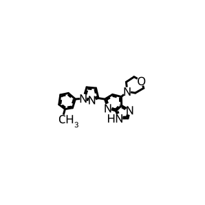 Cc1cccc(-n2ccc(-c3cc(N4CCOCC4)c4nc[nH]c4n3)n2)c1